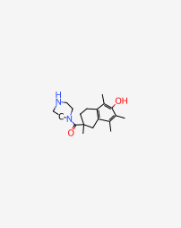 Cc1c(C)c2c(c(C)c1O)CCC(C)(C(=O)N1CCNCC1)C2